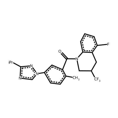 Cc1ccc(-n2cnc(C(C)C)n2)cc1C(=O)N1CC(C(F)(F)F)Cc2c(F)cccc21